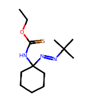 CCOC(=S)NC1(/N=N/C(C)(C)C)CCCCC1